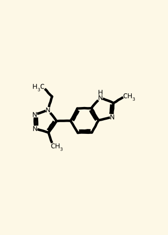 CCn1nnc(C)c1-c1ccc2nc(C)[nH]c2c1